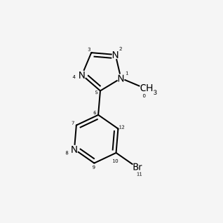 Cn1ncnc1-c1cncc(Br)c1